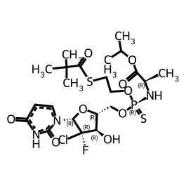 CC(C)OC(=O)[C@@H](C)N[P@](=S)(OCCSC(=O)C(C)(C)C)OC[C@H]1O[C@@H](n2ccc(=O)[nH]c2=O)[C@](F)(Cl)[C@@H]1O